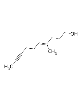 CC#CCC/C=C(\C)CCCO